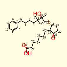 CC(C)(CCCCc1ccccc1)C(C)(O)CSC1CCC(=O)C1CCCCCCC(=O)O